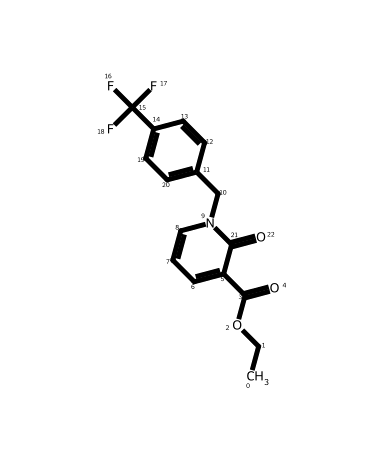 CCOC(=O)c1cccn(Cc2ccc(C(F)(F)F)cc2)c1=O